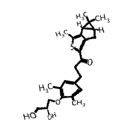 Cc1cc(CCC(=O)c2sc(C)c3c2C[C@@H]2[C@H]3C2(C)C)cc(C)c1OC[C@@H](O)CO